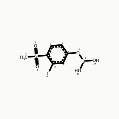 CS(=O)(=O)c1ccc(OB(O)O)cc1F